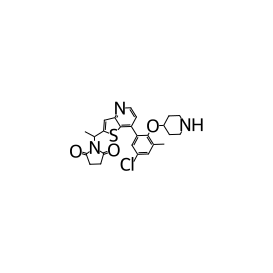 Cc1cc(Cl)cc(-c2ccnc3cc(C(C)N4C(=O)CCC4=O)sc23)c1OC1CCNCC1